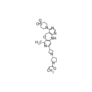 C=CC(=O)N1CC[C@@H](N2CC(c3cc4c(c(C)n3)OCc3c(ncnc3N3CCS(=O)(=O)CC3)N4)C2)C1